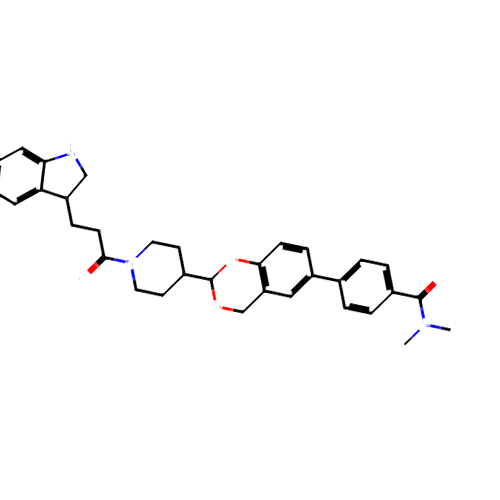 CN(C)C(=O)c1ccc(-c2ccc3c(c2)COC(C2CCN(C(=O)CCC4CNc5ccccc54)CC2)O3)cc1